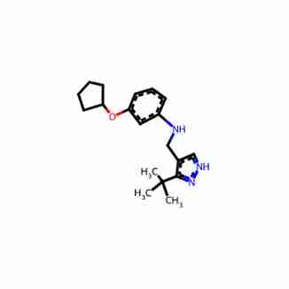 CC(C)(C)c1n[nH]cc1CNc1cccc(OC2CCCC2)c1